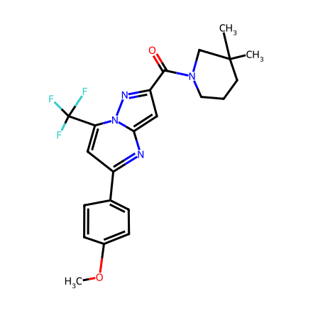 COc1ccc(-c2cc(C(F)(F)F)n3nc(C(=O)N4CCCC(C)(C)C4)cc3n2)cc1